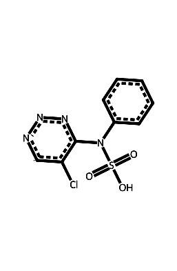 O=S(=O)(O)N(c1ccccc1)c1nnn[c]c1Cl